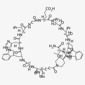 CCC[C@@H]1NC(=O)[C@H](CCC(=O)O)NC(=O)CNC(=O)[C@H](CC(C)C)NC(=O)[C@H](Cc2c[nH]cn2)NC(=O)C(Cc2c[nH]c3ccccc23)NC(=O)[C@H](C)NC(=O)[C@@H](NC(C)(C)C)CCC(=O)N2CCC(C(=O)N[C@H](C(N)=O)C(C)O)(CC2)NC(=O)[C@H](Cc2c[nH]c3ccccc23)NC(=O)[C@H](C(C)C)NC1=O